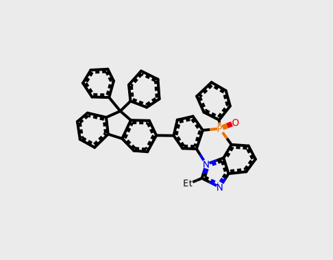 CCc1nc2cccc3c2n1-c1cc(-c2ccc4c(c2)C(c2ccccc2)(c2ccccc2)c2ccccc2-4)ccc1P3(=O)c1ccccc1